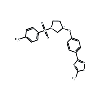 Cc1ccc(S(=O)(=O)N2CC[C@@H](Oc3ccc(-c4noc(C(F)(F)F)n4)cc3)C2)cc1